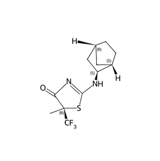 C[C@@]1(C(F)(F)F)SC(N[C@H]2C[C@@H]3CC[C@H]2C3)=NC1=O